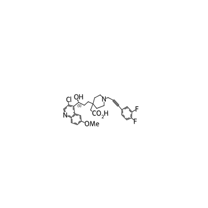 COc1ccc2ncc(Cl)c([C@@H](O)CCC3(CC(=O)O)CCN(CC#Cc4ccc(F)c(F)c4)CC3)c2c1